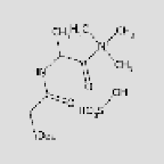 CCCCCCCCCCCC(=O)NC(C)C(=O)[N+](C)(C)C.O=S(=O)(O)O